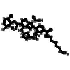 COCCOCCNC(=O)c1cc(C)c(-c2cc3c(N[C@H]4CC[C@@H](N)C4)c(C(N)=Nc4cc(F)ccc4Cl)cnn3c2)cn1.O=CO